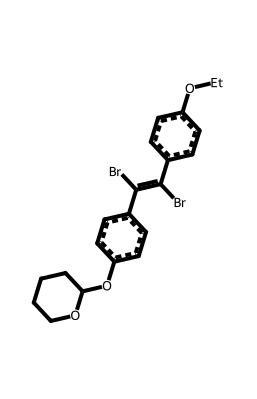 CCOc1ccc(C(Br)=C(Br)c2ccc(OC3CCCCO3)cc2)cc1